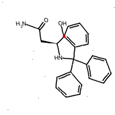 NC(=O)C[C@@H](CO)NC(c1ccccc1)(c1ccccc1)c1ccccc1